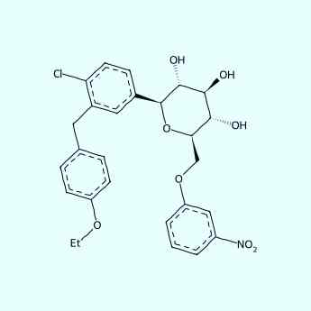 CCOc1ccc(Cc2cc([C@@H]3O[C@H](COc4cccc([N+](=O)[O-])c4)[C@@H](O)[C@H](O)[C@H]3O)ccc2Cl)cc1